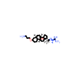 C/C(=N\NC(=N)N)[C@H]1CC[C@]2(O)[C@@H]3CC[C@@H]4C[C@@H](OCCCN)CC[C@]4(C)[C@H]3CC[C@]12C